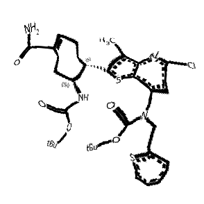 Cc1c([C@H]2CC=C(C(N)=O)C[C@@H]2NC(=O)OC(C)(C)C)sc2c(N(Cc3cccs3)C(=O)OC(C)(C)C)cc(Cl)nc12